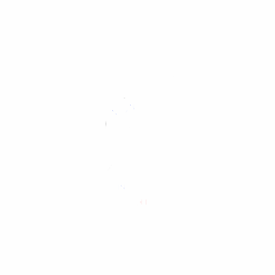 CCCCc1cn2ccc(OC/C(=C/F)CNC(=O)O)cc2n1